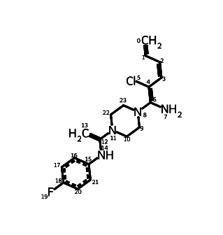 C=C/C=C\C(Cl)=C(/N)N1CCN(C(=C)Nc2ccc(F)cc2)CC1